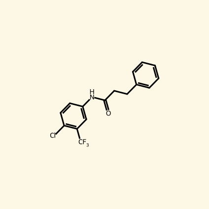 O=C(CCc1ccccc1)Nc1ccc(Cl)c(C(F)(F)F)c1